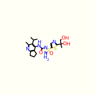 Cc1nc2c(c(NC(=O)N=S(N)(=O)c3cnc(C(C)(O)CO)s3)c1C(C)C)CCC2